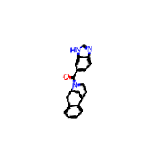 O=C(c1ccc2nc[nH]c2c1)N1CCC2CC1Cc1ccccc12